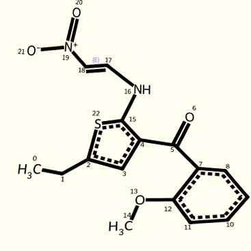 CCc1cc(C(=O)c2ccccc2OC)c(N/C=C/[N+](=O)[O-])s1